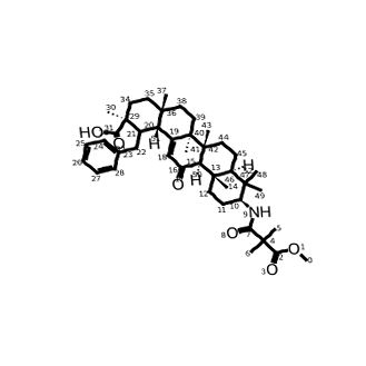 COC(=O)C(C)(C)C(=O)N[C@H]1CC[C@]2(C)[C@H]3C(=O)C=C4[C@@H]5C(Cc6ccccc6)[C@@](C)(C(=O)O)CC[C@]5(C)CC[C@@]4(C)[C@]3(C)CC[C@H]2C1(C)C